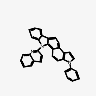 c1ccc(-n2ccc3c4ccc5c6ccccc6n(-c6ccc7ccccc7n6)c5c4ccc32)cc1